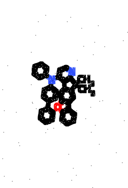 CC1(C)c2cc3c(cc2-c2c(N(c4ccccc4)c4ccc(-c5ccccc5)cc4)ccnc21)oc1ccccc13